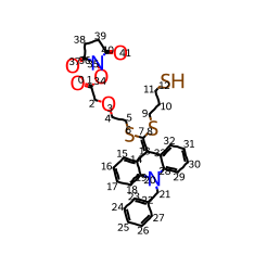 O=C(COCCSC(SCCCS)=C1c2ccccc2N(Cc2ccccc2)c2ccccc21)ON1C(=O)CCC1=O